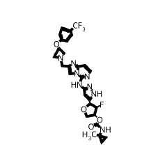 CC1(NC(=O)O[C@H]2CO[C@@H](c3cc(Nc4nccc5nc(CN6CC(Oc7ccc(C(F)(F)F)cc7)C6)cn45)n[nH]3)[C@H]2F)CC1